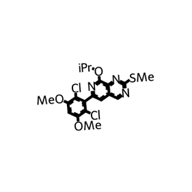 COc1cc(OC)c(Cl)c(-c2cc3cnc(SC)nc3c(OC(C)C)n2)c1Cl